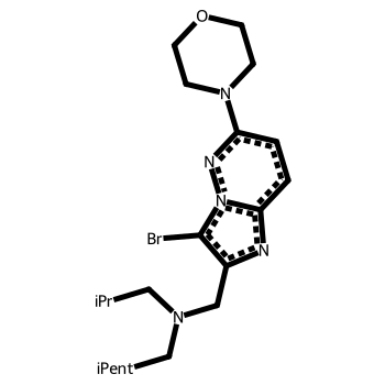 CCCC(C)CN(Cc1nc2ccc(N3CCOCC3)nn2c1Br)CC(C)C